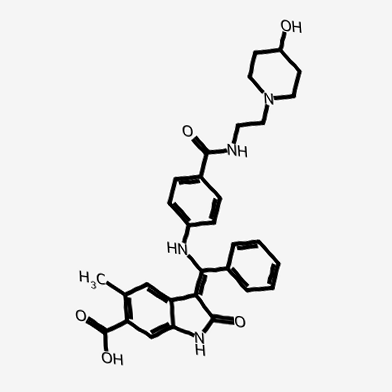 Cc1cc2c(cc1C(=O)O)NC(=O)C2=C(Nc1ccc(C(=O)NCCN2CCC(O)CC2)cc1)c1ccccc1